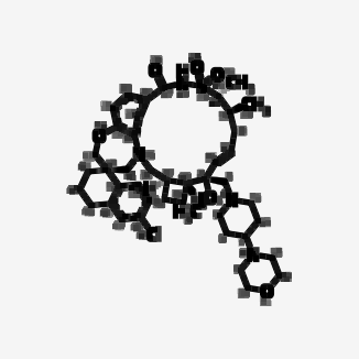 CO[C@@]1(CN2CCC(N3CCOCC3)CC2)/C=C/C[C@H](C)[C@@H](C)S(=O)(=O)NC(=O)c2ccc3c(c2)N(C[C@@H]2CC[C@H]21)C[C@@]1(CCCc2cc(Cl)ccc21)CO3